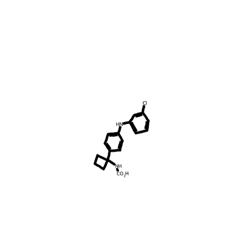 O=C(O)NC1(c2ccc(Nc3cccc(Cl)c3)cc2)CCC1